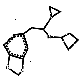 c1cc2c(cc1CC(NC1CCC1)C1CC1)OCO2